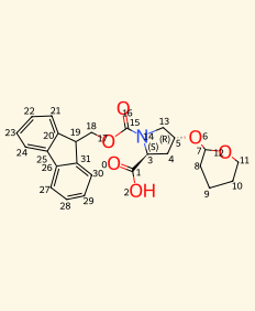 O=C(O)[C@@H]1C[C@@H](OC2CCCCO2)CN1C(=O)OCC1c2ccccc2-c2ccccc21